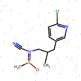 CC(Cc1ccc(Cl)nc1)C[N+](C#N)=S(C)[O-]